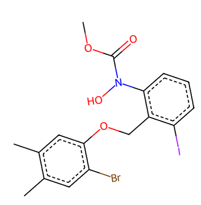 COC(=O)N(O)c1cccc(I)c1COc1cc(C)c(C)cc1Br